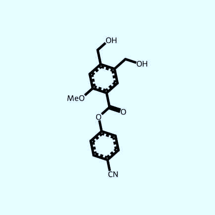 COc1cc(CO)c(CO)cc1C(=O)Oc1ccc(C#N)cc1